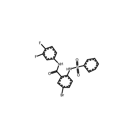 O=C(Nc1ccc(F)c(F)c1)c1cc(Br)ccc1NS(=O)(=O)c1ccccc1